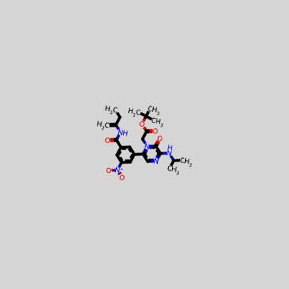 C=C(CC)NC(=O)c1cc(-c2cnc(NC(C)C)c(=O)n2CC(=O)OC(C)(C)C)cc([N+](=O)[O-])c1